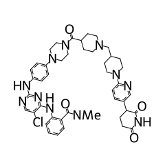 CNC(=O)c1ccccc1Nc1nc(Nc2ccc(N3CCN(C(=O)C4CCN(CC5CCN(c6ccc(C7CCC(=O)NC7=O)cn6)CC5)CC4)CC3)cc2)ncc1Cl